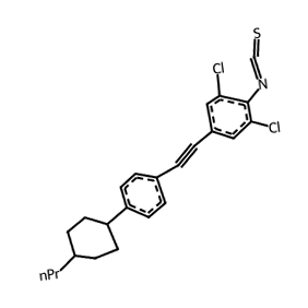 CCCC1CCC(c2ccc(C#Cc3cc(Cl)c(N=C=S)c(Cl)c3)cc2)CC1